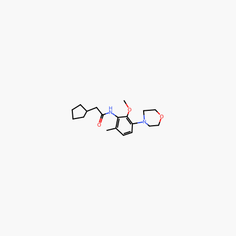 COc1c(N2CCOCC2)ccc(C)c1NC(=O)CC1CCCC1